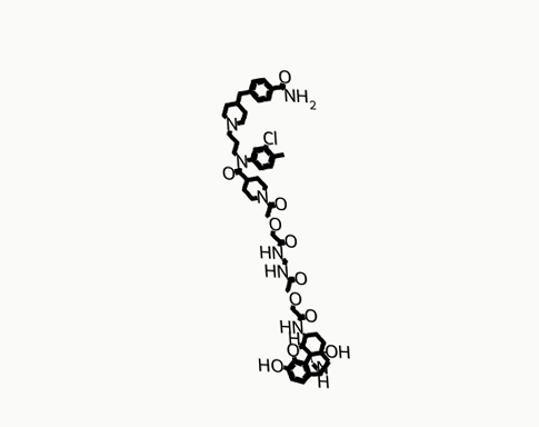 Cc1ccc(N(CCCN2CCC(Cc3ccc(C(N)=O)cc3)CC2)C(=O)C2CCN(C(=O)COCC(=O)NCNC(=O)COCC(=O)N[C@H]3CC[C@@]4(O)C5Cc6ccc(O)c7c6[C@@]4(CCN5)[C@H]3O7)CC2)cc1Cl